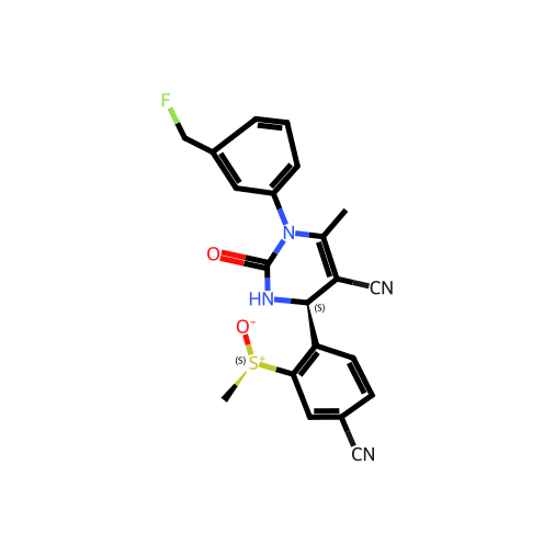 CC1=C(C#N)[C@@H](c2ccc(C#N)cc2[S@@+](C)[O-])NC(=O)N1c1cccc(CF)c1